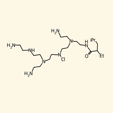 CCC(CC(C)C)C(=O)NCCN(CCN)CCN(Cl)CCN(CCN)CCNCCN